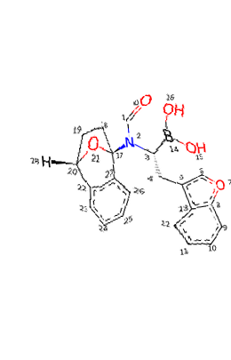 O=CN([C@@H](Cc1coc2ccccc12)B(O)O)[C@]12CC[C@H](O1)c1ccccc12